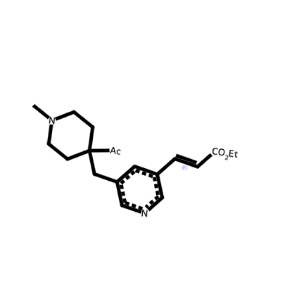 CCOC(=O)/C=C/c1cncc(CC2(C(C)=O)CCN(C)CC2)c1